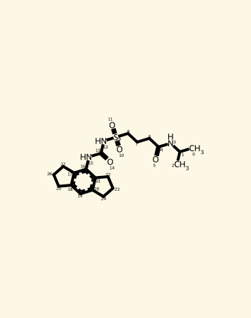 CC(C)NC(=O)CCCS(=O)(=O)NC(=O)Nc1c2c(cc3c1CCC3)CCC2